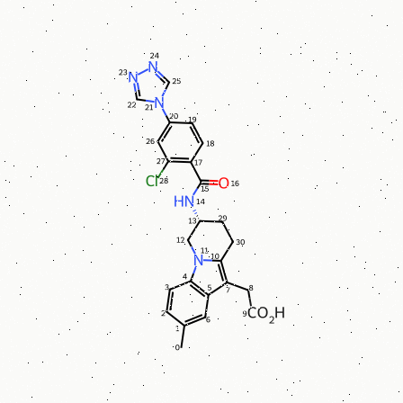 Cc1ccc2c(c1)c(CC(=O)O)c1n2C[C@H](NC(=O)c2ccc(-n3cnnc3)cc2Cl)CC1